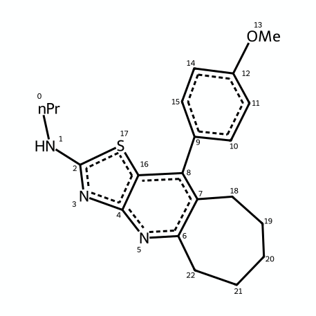 CCCNc1nc2nc3c(c(-c4ccc(OC)cc4)c2s1)CCCCC3